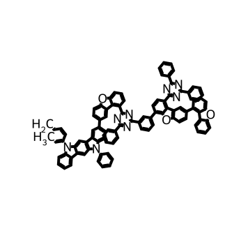 C=C/C=C\C(=C/C)n1c2ccccc2c2cc3c(cc21)c1cc(-c2ccc4oc5cccc(-c6nc(-c7ccccc7)nc(-c7cccc(-c8ccc(-c9nc(-c%10ccccc%10)nc(-c%10ccccc%10)n9)c9c8oc8ccc(-c%10cccc%11oc%12ccccc%12c%10%11)cc89)c7)n6)c5c4c2)ccc1n3-c1ccccc1